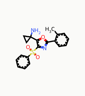 Cc1ccccc1-c1nc(S(=O)(=O)c2ccccc2)c(C2(N)CC2)o1